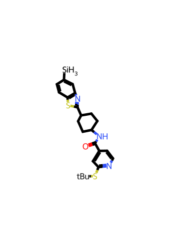 CC(C)(C)Sc1cc(C(=O)NC2CCC(c3nc4cc([SiH3])ccc4s3)CC2)ccn1